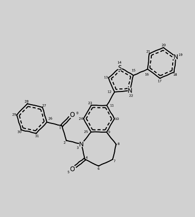 O=C(CN1C(=O)CCCc2cc(-c3csc(-c4ccncc4)n3)ccc21)c1ccccc1